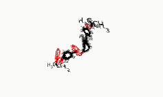 C=C(C)C(=O)Oc1ccc(C(=O)Oc2ccc(-c3ccc(OC=C(C)C)cc3)cc2)cc1